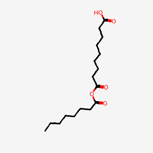 CCCCCCCC(=O)OC(=O)CCCCCCCC(=O)O